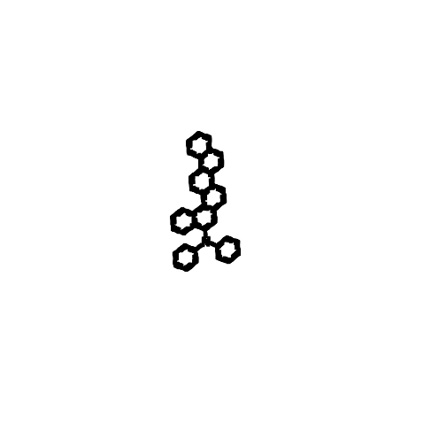 c1ccc(N(c2ccccc2)c2cc3ccc4c5ccc6ccccc6c5ccc4c3c3ccccc23)cc1